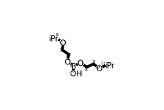 CC(C)OCCOB(O)OCCOC(C)C